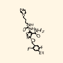 CCc1cc(F)c(COc2nsc(NC(=O)NCCCn3ccnc3)c2C(N)=O)cc1F